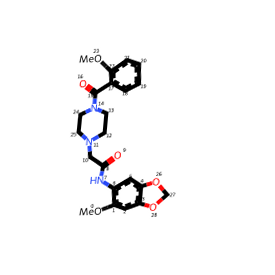 COc1cc2c(cc1NC(=O)CN1CCN(C(=O)c3ccccc3OC)CC1)OCO2